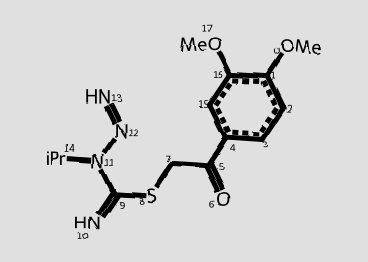 COc1ccc(C(=O)CSC(=N)N(N=N)C(C)C)cc1OC